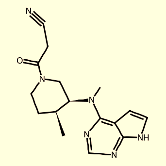 C[C@H]1CCN(C(=O)CC#N)C[C@H]1N(C)c1ncnc2[nH]ccc12